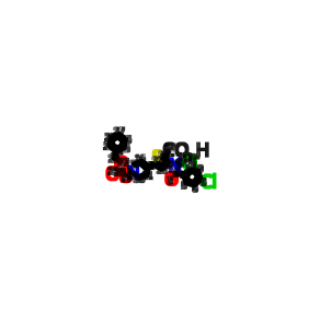 CC(C)N(C(=O)c1ccc(Cl)cc1Cl)c1cc(C2=CCN(OC(=O)OCc3ccccc3)CC2)sc1C(=O)O